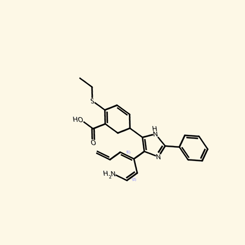 C=C/C=C(\C=C/N)c1nc(-c2ccccc2)[nH]c1C1C=CC(SCC)=C(C(=O)O)C1